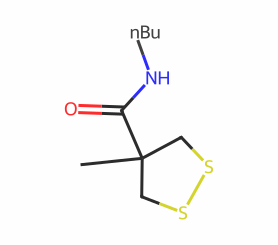 CCCCNC(=O)C1(C)CSSC1